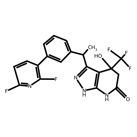 CC(c1cccc(-c2ccc(F)nc2F)c1)c1n[nH]c2c1C(O)(C(F)(F)F)CC(=O)N2